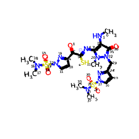 CNc1c(/N=C(\S)C(=O)c2ccn(S(=O)(=O)N(C)C)n2)n(C)n(Cc2ccn(S(=O)(=O)N(C)C)n2)c1=O